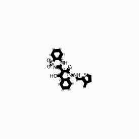 Cc1ccsc1CNn1c(=O)c(C2=NS(=O)(=O)c3ccccc3N2)c(O)c2ccccc21